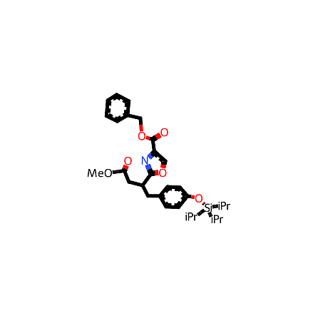 COC(=O)CC(Cc1ccc(O[Si](C(C)C)(C(C)C)C(C)C)cc1)c1nc(C(=O)OCc2ccccc2)co1